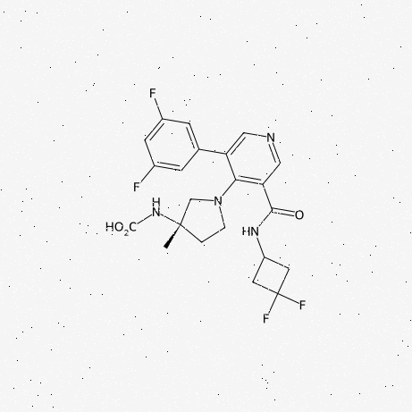 C[C@]1(NC(=O)O)CCN(c2c(C(=O)NC3CC(F)(F)C3)cncc2-c2cc(F)cc(F)c2)C1